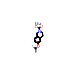 CC(C)(C)OC(=O)N1CCc2cc(OC(F)F)ccc2C1